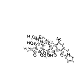 CC(=O)c1cc(CN2CC=CC2)c(O)c2c1C[C@H]1C[C@H]3[C@H](N(C)C)C(O)=C(C(N)=O)C(=O)[C@@]3(O)C(O)=C1C2=O